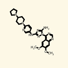 COc1cc2ncnc(-n3nc(Nc4ccc(N5CCC(N6CCCC6)CC5)nc4)nc3N)c2cc1OC